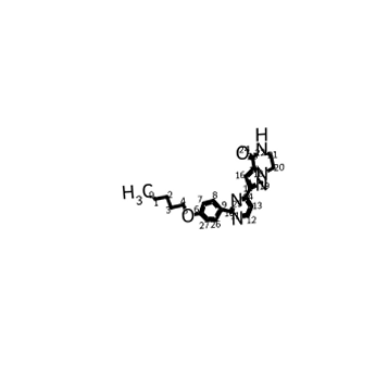 CCCCCOc1ccc(-c2nccc(-c3cc4n(n3)CCNC4=O)n2)cc1